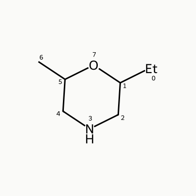 CCC1CNCC(C)O1